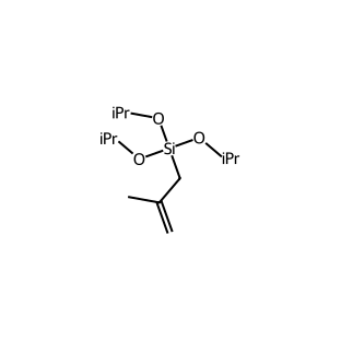 C=C(C)C[Si](OC(C)C)(OC(C)C)OC(C)C